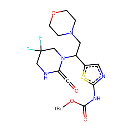 CC(C)(C)OC(=O)Nc1ncc(C(CN2CCOCC2)N2CC(F)(F)CNC2=C=O)s1